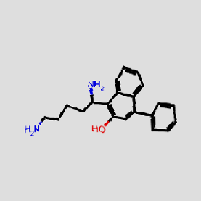 NCCCCC(N)c1c(O)cc(-c2ccccc2)c2ccccc12